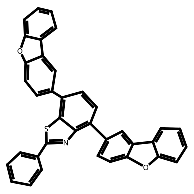 c1ccc(-c2nc3c(-c4ccc5oc6ccccc6c5c4)ccc(-c4ccc5oc6ccccc6c5c4)c3s2)cc1